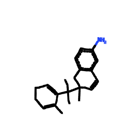 CC1=CCCC=C1C(C)(C)C1(C)C=Cc2cc(N)ccc2C1